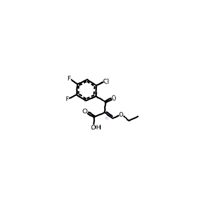 CCO/C=C(/C(=O)O)C(=O)c1cc(F)c(F)cc1Cl